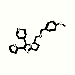 COc1ccc(COCC2CCc3nc(-c4ccco4)c(-c4ccncc4)n32)cc1